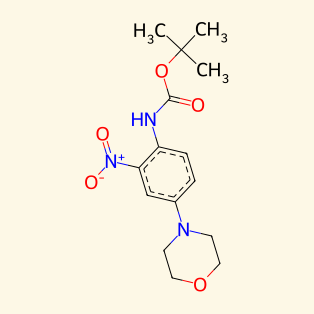 CC(C)(C)OC(=O)Nc1ccc(N2CCOCC2)cc1[N+](=O)[O-]